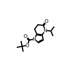 CC(C)N1C(=O)CCc2c1ccn2C(=O)OC(C)(C)C